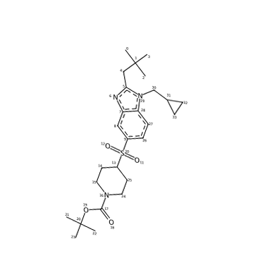 CC(C)(C)Cc1nc2cc(S(=O)(=O)C3CCN(C(=O)OC(C)(C)C)CC3)ccc2n1CC1CC1